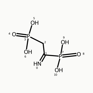 N=C(CP(=O)(O)O)P(=O)(O)O